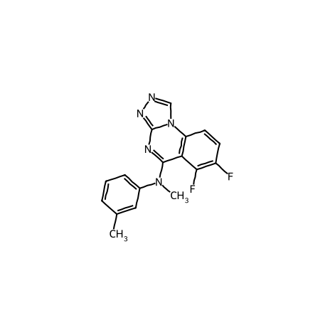 Cc1cccc(N(C)c2nc3nncn3c3ccc(F)c(F)c23)c1